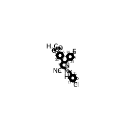 CS(=O)(=O)c1ccc(-c2cc(C#N)c(NCc3ccc(Cl)cc3)nc2-c2ccc(F)cc2)cc1